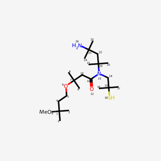 COC(C)(C)CCOC(C)(C)CC(=O)N(CC(C)(C)S)C(C)(C)CC(C)(C)N